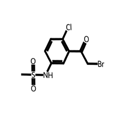 CS(=O)(=O)Nc1ccc(Cl)c(C(=O)CBr)c1